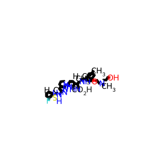 C/C(NCC1CC2(C)CC3(C)CC1CC(OCCN(C)CCCO)(C2)C3)=C(/C=N)c1ccc(N2CCCc3c2nnc(Nc2nc4cccc(F)c4s2)c3C)nc1C(=O)O